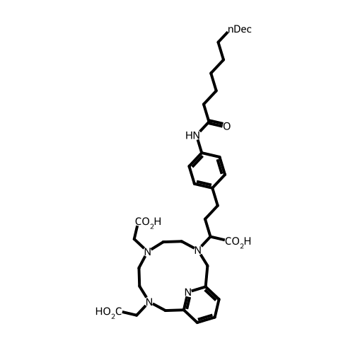 CCCCCCCCCCCCCCCC(=O)Nc1ccc(CCC(C(=O)O)N2CCN(CC(=O)O)CCN(CC(=O)O)Cc3cccc(n3)C2)cc1